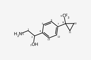 NCC(O)c1ccc(C2(C(F)(F)F)CC2)cc1